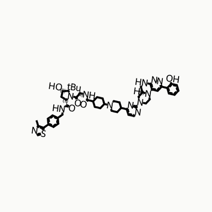 Cc1ncsc1-c1ccc(CNC(=O)[C@@H]2C[C@@H](O)CN2C(=O)[C@@H](NC(=O)C2CCC(N3CCC(c4ccnc(N5CCN6c7cc(-c8ccccc8O)nnc7NC[C@@H]6C5)n4)CC3)CC2)C(C)(C)C)cc1